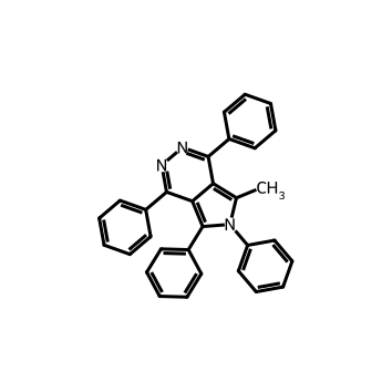 Cc1c2c(-c3ccccc3)nnc(-c3ccccc3)c2c(-c2ccccc2)n1-c1ccccc1